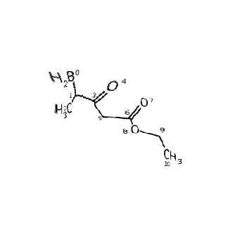 BC(C)C(=O)CC(=O)OCC